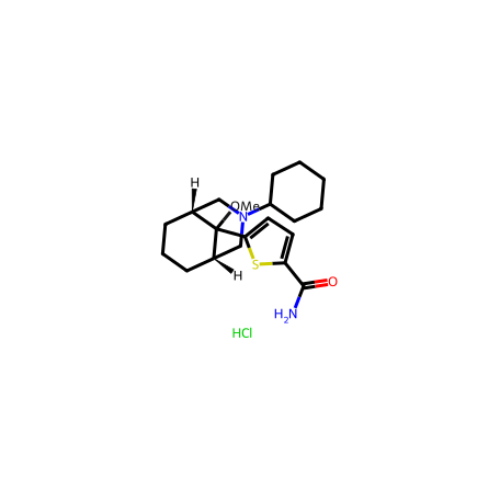 COC1(c2ccc(C(N)=O)s2)[C@@H]2CCC[C@H]1CN(C1CCCCC1)C2.Cl